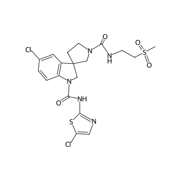 CS(=O)(=O)CCNC(=O)N1CCC2(C1)CN(C(=O)Nc1ncc(Cl)s1)c1ccc(Cl)cc12